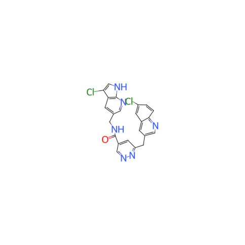 O=C(NCc1cnc2[nH]cc(Cl)c2c1)c1cnnc(Cc2cnc3ccc(Cl)cc3c2)c1